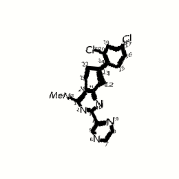 CNc1nc(-c2cnccn2)nc2cc(-c3ccc(Cl)cc3Cl)ccc12